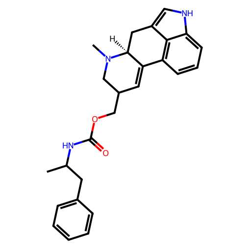 CC(Cc1ccccc1)NC(=O)OCC1C=C2c3cccc4[nH]cc(c34)C[C@@H]2N(C)C1